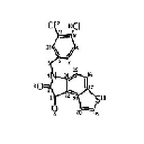 O=C1C(=O)N(Cc2ccc(Cl)c(Cl)c2)c2ccc3sccc3c21